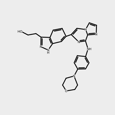 OCCc1n[nH]c2cc(-c3cn4ccnc4c(Nc4ccc(N5CCOCC5)cc4)n3)ccc12